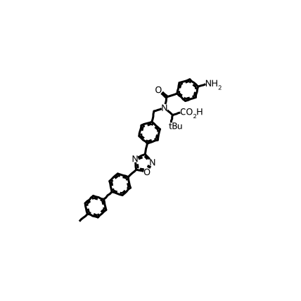 Cc1ccc(-c2ccc(-c3nc(-c4ccc(CN(C(=O)c5ccc(N)cc5)C(C(=O)O)C(C)(C)C)cc4)no3)cc2)cc1